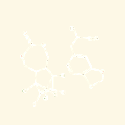 CCC(C=O)Cc1ccc2c(c1)OCO2.O=S1OCC2C(CO1)C1(Cl)C(Cl)=C(Cl)C2(Cl)C1(Cl)Cl